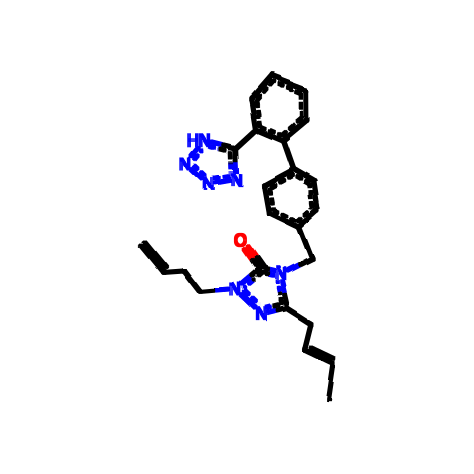 C=CCCn1nc(CC=CC)n(Cc2ccc(-c3ccccc3-c3nnn[nH]3)cc2)c1=O